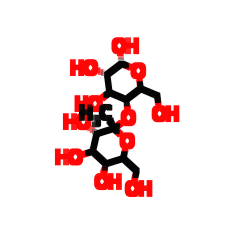 C[C@@]1(O[C@@H]2C(CO)O[C@@H](O)[C@@H](O)C2O)OC(CO)[C@@H](O)C(O)[C@@H]1O